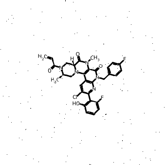 C=CC(=O)N1C[C@@H]2C(=O)N(C)c3c(c4cc(Cl)c(-c5c(O)cccc5F)nc4n(Cc4ccc(F)cc4)c3=O)N2C[C@H]1C